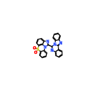 O=S1(=O)c2ccccc2-n2c(-c3nc4ccccc4c4nc5ccccc5n34)nc3cccc1c32